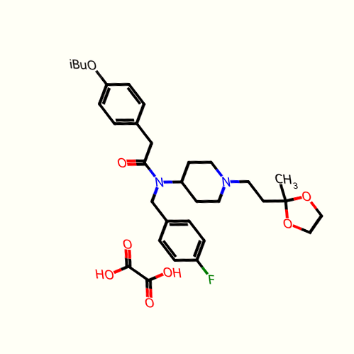 CC(C)COc1ccc(CC(=O)N(Cc2ccc(F)cc2)C2CCN(CCC3(C)OCCO3)CC2)cc1.O=C(O)C(=O)O